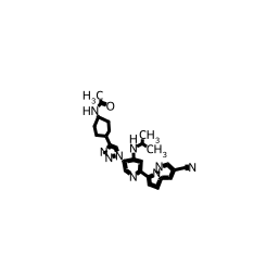 CC(=O)NC1CCC(c2cn(-c3cnc(-c4ccc5cc(C#N)cnn45)cc3NC(C)C)nn2)CC1